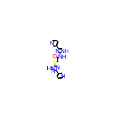 O=C(CSc1nc(-c2cccnc2)n[nH]1)Nc1nc(-c2cccnc2)c[nH]1